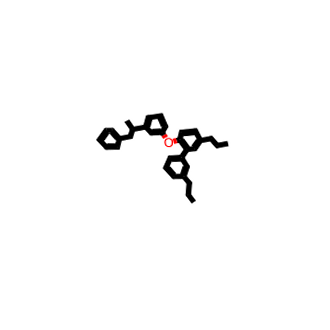 CCCc1cccc(-c2cc(CCC)ccc2Oc2cccc(C(C)Cc3ccccc3)c2)c1